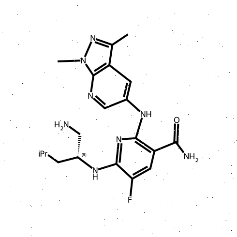 Cc1nn(C)c2ncc(Nc3nc(N[C@@H](CN)CC(C)C)c(F)cc3C(N)=O)cc12